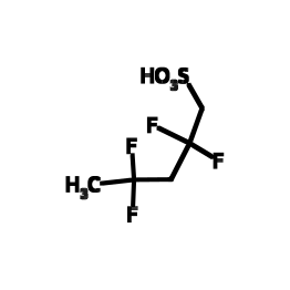 CC(F)(F)CC(F)(F)CS(=O)(=O)O